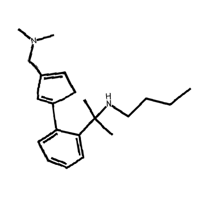 CCCCNC(C)(C)c1ccccc1C1=CC(CN(C)C)=CC1